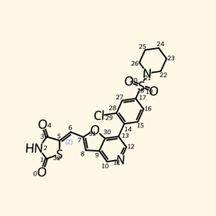 O=C1NC(=O)/C(=C/c2cc3cncc(-c4ccc(S(=O)(=O)N5CCCCC5)cc4Cl)c3o2)S1